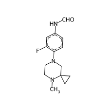 CN1CCN(c2ccc(NC=O)cc2F)CC12CC2